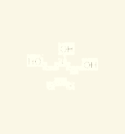 C=CC.OCC(O)CO